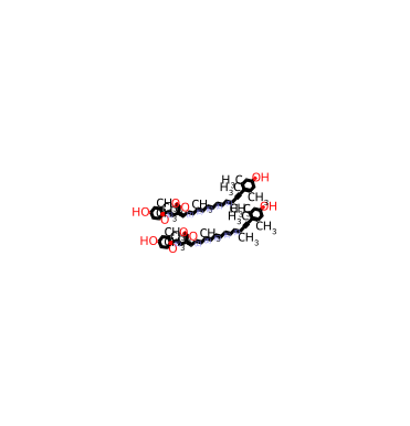 CC1=C(C#C/C(C)=C/C=C/C=C/C=C(C)/C=C2C=C(/C=C/C34OC3(C)CC(O)CC4(C)C)C(=O)O/2)C(C)(C)CC(O)C1.CC1=C(C#C/C(C)=C/C=C/C=C/C=C(C)/C=C2C=C(/C=C/C34OC3(C)CC(O)CC4(C)C)C(=O)O/2)C(C)(C)CC(O)C1